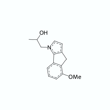 COc1cccc2c1Cc1ccn(CC(C)O)c1-2